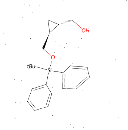 CC(C)(C)[Si](OC[C@H]1C[C@@H]1CO)(c1ccccc1)c1ccccc1